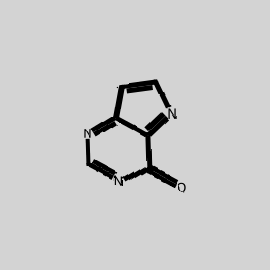 O=C1N=CN=C2[C]=CN=C12